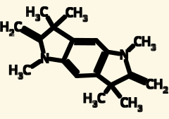 C=C1N(C)c2cc3c(cc2C1(C)C)N(C)C(=C)C3(C)C